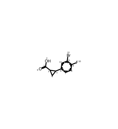 O=C(O)C1CC1c1ccc(F)c(Br)c1